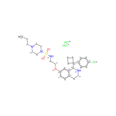 CCCN1CCN(S(=O)(=O)NCCOc2ccc3c(c2)C(C2(c4ccc(Cl)cc4)CCC2)NCC3)CC1.Cl.Cl